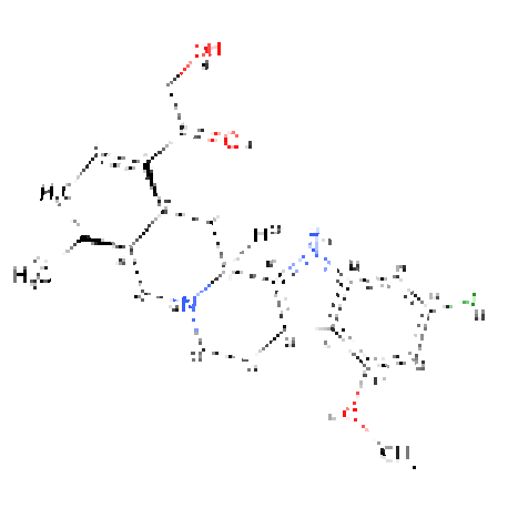 C/C=C(/C(=O)CO)[C@H]1C[C@H]2c3[nH]c4cc(Cl)cc(OC)c4c3CCN2C[C@H]1CC